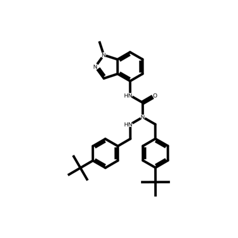 Cn1ncc2c(NC(=O)N(Cc3ccc(C(C)(C)C)cc3)NCc3ccc(C(C)(C)C)cc3)cccc21